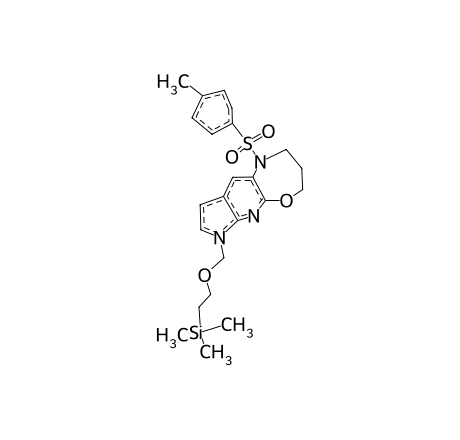 Cc1ccc(S(=O)(=O)N2CCCOc3nc4c(ccn4COCC[Si](C)(C)C)cc32)cc1